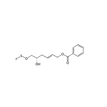 O=C(OC/C=C/C[C@H](O)COSI)c1ccccc1